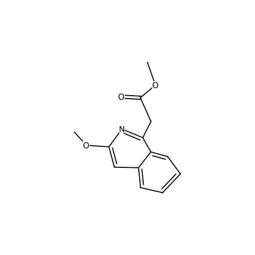 COC(=O)Cc1nc(OC)cc2ccccc12